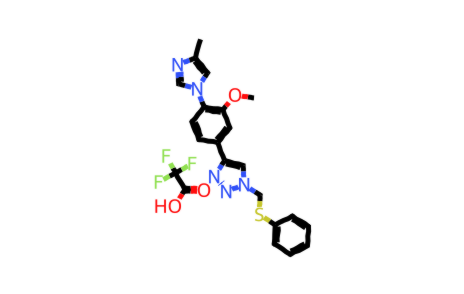 COc1cc(-c2cn(CSc3ccccc3)nn2)ccc1-n1cnc(C)c1.O=C(O)C(F)(F)F